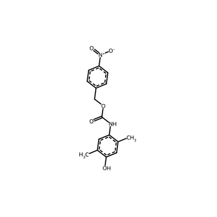 Cc1cc(NC(=O)OCc2ccc([N+](=O)[O-])cc2)c(C)cc1O